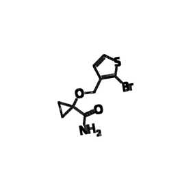 NC(=O)C1(OCc2ccsc2Br)CC1